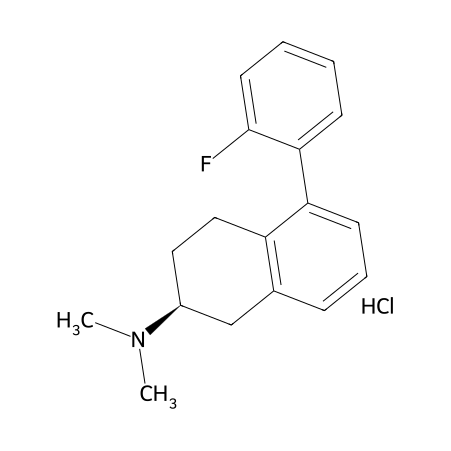 CN(C)[C@H]1CCc2c(cccc2-c2ccccc2F)C1.Cl